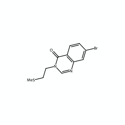 CSCCn1cnc2cc(Br)ccc2c1=O